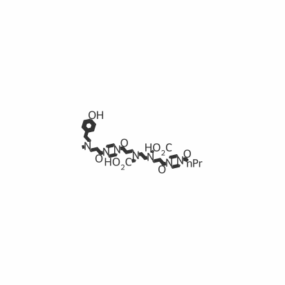 CCCC(=O)N1CCN(C(=O)CCN(CCN(CCC(=O)N2CCN(C(=O)CCN(C)CCc3ccc(O)cc3)CC2)CC(=O)O)CC(=O)O)CC1